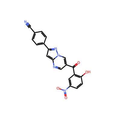 N#Cc1ccc(-c2cc3ncc(C(=O)c4cc([N+](=O)[O-])ccc4O)cn3n2)cc1